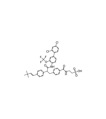 CC(C)(C)/C=C/c1ccc(C(Cc2ccc(C(=O)NCCS(=O)(=O)O)cc2)C(=O)Nc2ccc(-c3ccc(Cl)cc3Cl)cc2OC(F)(F)F)cc1